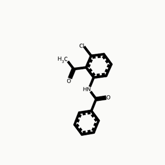 CC(=O)c1c(Cl)cccc1NC(=O)c1ccccc1